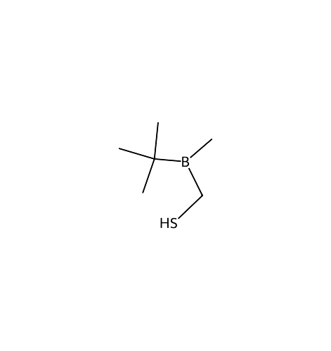 CB(CS)C(C)(C)C